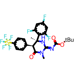 CN1C(=O)[C@@H](c2ccc(S(F)(F)(F)(F)F)cc2)[C@@](C)(c2c(F)cc(F)cc2F)N/C1=N\C(=O)OC(C)(C)C